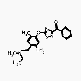 CCN(C)CCc1cc(C)c(Oc2nc(C(=O)c3ccccc3)ns2)cc1C